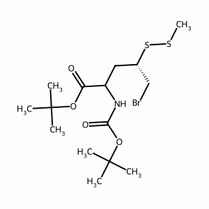 CSS[C@H](CBr)CC(NC(=O)OC(C)(C)C)C(=O)OC(C)(C)C